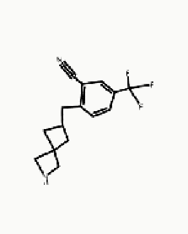 N#Cc1cc(C(F)(F)F)ccc1CC1CC2(CNC2)C1